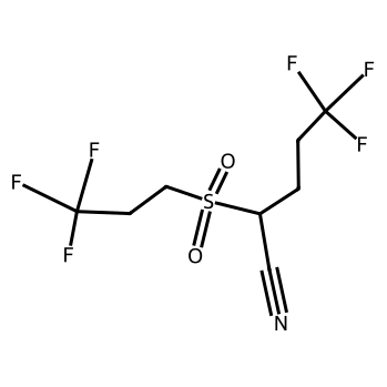 N#CC(CCC(F)(F)F)S(=O)(=O)CCC(F)(F)F